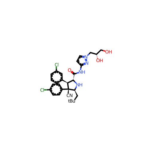 CC(C)(C)C[C@@H]1N[C@@H](C(=O)Nc2ccn(C[C@@H](O)CO)n2)[C@H](c2cccc(Cl)c2)[C@@]1(C#N)c1ccc(Cl)cc1